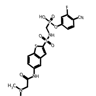 CCN(C)CC(=O)Nc1ccc2sc(S(=O)(=O)NCP(=O)(O)Oc3ccc(C#N)c(F)c3)cc2c1